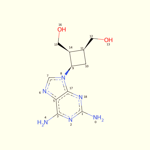 Nc1nc(N)c2ncn([C@@H]3C[C@H](CO)[C@@H]3CO)c2n1